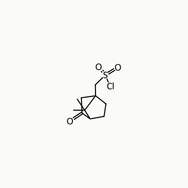 CC1(C)C2CCC1(CS(=O)(=O)Cl)CC2=O